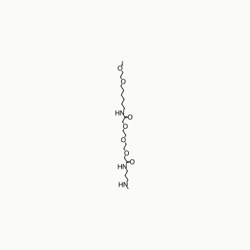 CNCCCNC(=O)COCCOCCOCC(=O)NCCCCCCOCCOI